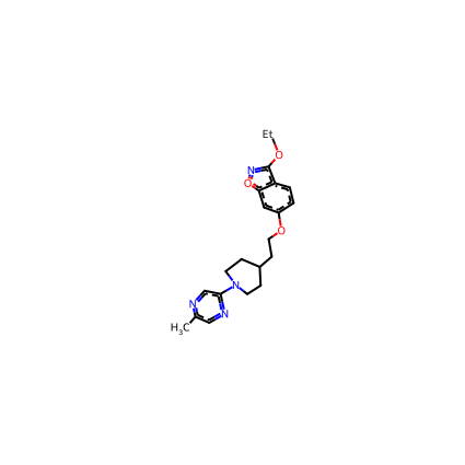 CCOc1noc2cc(OCCC3CCN(c4cnc(C)cn4)CC3)ccc12